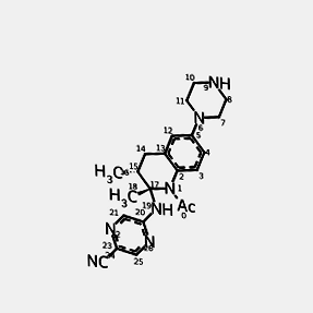 CC(=O)N1c2ccc(N3CCNCC3)cc2C[C@@H](C)[C@@]1(C)Nc1cnc(C#N)cn1